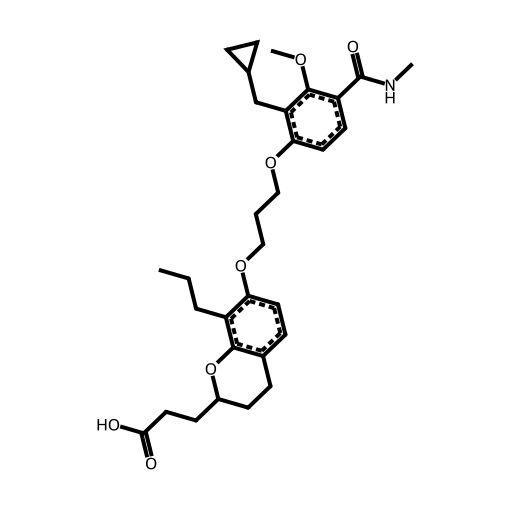 CCCc1c(OCCCOc2ccc(C(=O)NC)c(OC)c2CC2CC2)ccc2c1OC(CCC(=O)O)CC2